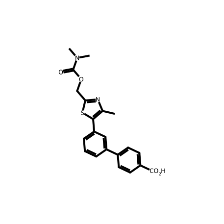 Cc1nc(COC(=O)N(C)C)sc1-c1cccc(-c2ccc(C(=O)O)cc2)c1